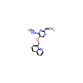 C=Cc1ncc(OCc2cccc3cccnc23)c(NCCCC)n1